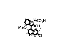 COc1cccc2c1c(-c1ccnc3cc(Cl)ccc13)c(C)n2CC(=O)O